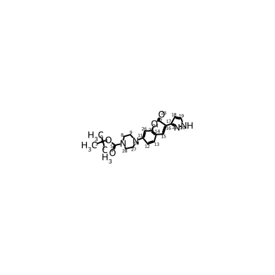 CC(C)(C)OC(=O)N1CCN(c2ccc3cc(-c4cc[nH]n4)c(=O)oc3c2)CC1